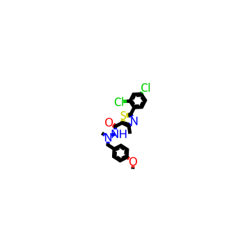 COc1ccc(CN(C)NC(=O)c2sc(-c3ccc(Cl)cc3Cl)nc2C)cc1